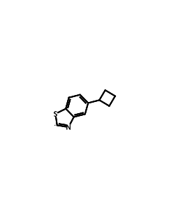 [c]1nc2cc(C3CCC3)ccc2s1